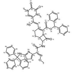 CON=C(C(=O)NC1C(=O)N2C(C(=O)OC(c3ccccc3)c3ccccc3)=C(C=C(S)c3nn(C)c(=O)c(=O)n3C)CSC12)c1csc(NC(c2ccccc2)(c2ccccc2)c2ccccc2)n1